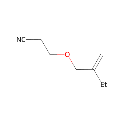 C=C(CC)COCCC#N